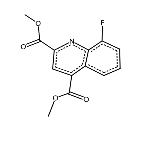 COC(=O)c1cc(C(=O)OC)c2cccc(F)c2n1